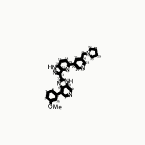 COc1cccc(-c2cncc3[nH]c(-c4n[nH]c5ccc(-c6cncc(CN7CCCC7)c6)nc45)nc23)c1